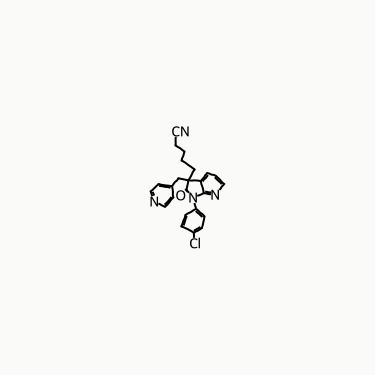 N#CCCCCC1(Cc2ccncc2)C(=O)N(c2ccc(Cl)cc2)c2ncccc21